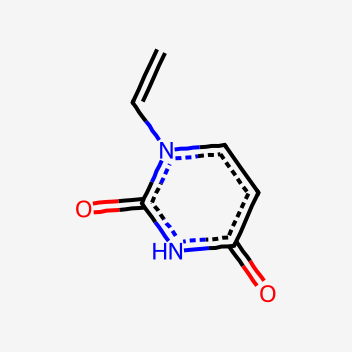 C=Cn1ccc(=O)[nH]c1=O